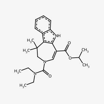 CCN(CC)C(=O)N1C=C(C(=O)OC(C)C)c2[nH]c3ccccc3c2C(C)(C)C1